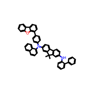 CC1(C)c2cc(Nc3ccccc3-c3ccccc3)ccc2-c2ccc(N(c3ccc(-c4cccc5c4oc4ccccc45)cc3)c3cccc4ccccc34)cc21